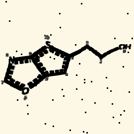 OCCc1cc2ocnc2s1